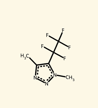 Cc1nnn(C)c1C(F)(F)C(F)(F)F